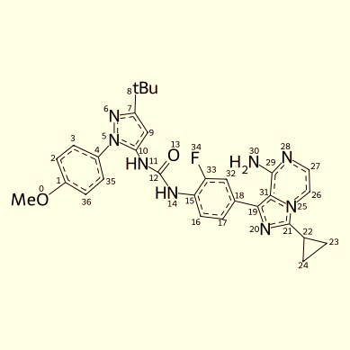 COc1ccc(-n2nc(C(C)(C)C)cc2NC(=O)Nc2ccc(-c3nc(C4CC4)n4ccnc(N)c34)cc2F)cc1